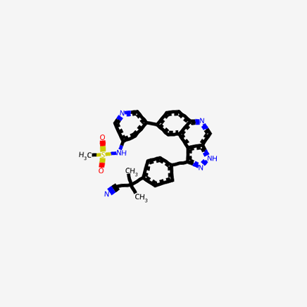 CC(C)(C#N)c1ccc(-c2n[nH]c3cnc4ccc(-c5cncc(NS(C)(=O)=O)c5)cc4c23)cc1